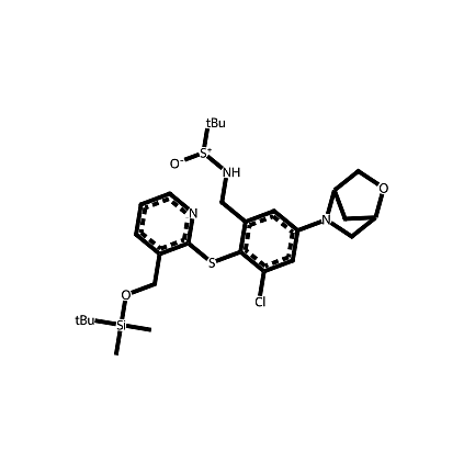 CC(C)(C)[S+]([O-])NCc1cc(N2CC3CC2CO3)cc(Cl)c1Sc1ncccc1CO[Si](C)(C)C(C)(C)C